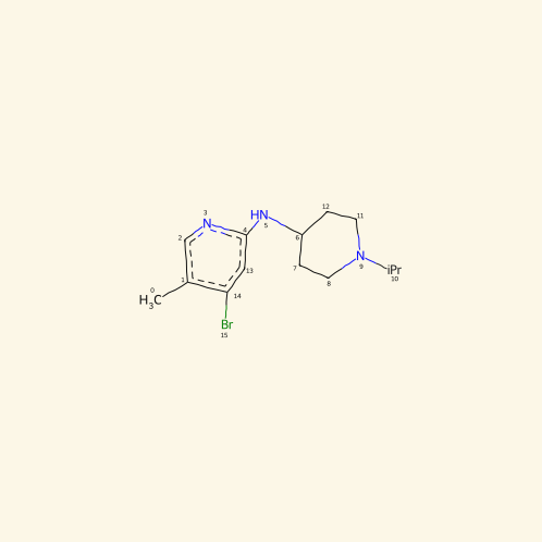 Cc1cnc(NC2CCN(C(C)C)CC2)cc1Br